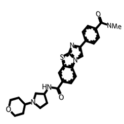 CNC(=O)c1ccc(-c2cn3c(n2)sc2cc(C(=O)NC4CCN(C5CCOCC5)C4)ccc23)cc1